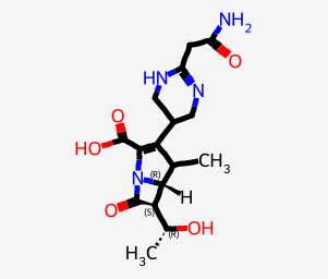 CC1C(C2CN=C(CC(N)=O)NC2)=C(C(=O)O)N2C(=O)[C@H]([C@@H](C)O)[C@@H]12